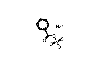 O=C(OS(=O)([O-])=S)c1ccccc1.[Na+]